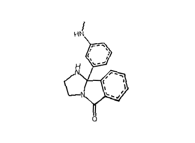 CNc1cccc(C23NCCN2C(=O)c2ccccc23)c1